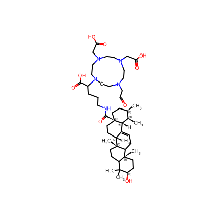 C[C@@H]1[C@H](C)CC[C@@]2(C(=O)NCCCC(C(=O)O)N3CCN(CC=O)CCN(CC(=O)O)CCN(CC(=O)O)CC3)CC[C@]3(C)C(=CCC4[C@]5(C)CC[C@@H](O)C(C)(C)C5CC[C@@]43C)[C@@H]12